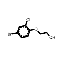 OCCOc1ccc(Br)cc1Cl